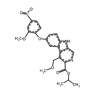 COCc1c(C(=O)OC(C)C)ncc2[nH]c3ccc(Oc4ccc([N+](=O)[O-])cc4OC)cc3c12